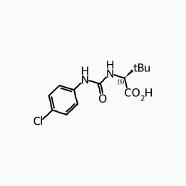 CC(C)(C)[C@H](NC(=O)Nc1ccc(Cl)cc1)C(=O)O